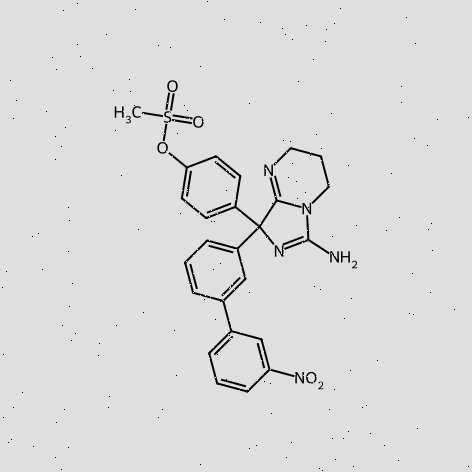 CS(=O)(=O)Oc1ccc(C2(c3cccc(-c4cccc([N+](=O)[O-])c4)c3)N=C(N)N3CCCN=C32)cc1